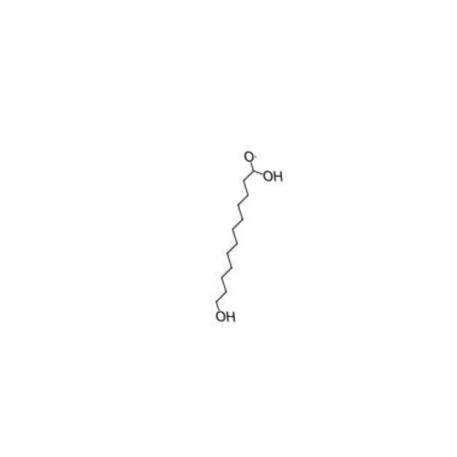 [O]C(O)CCCCCCCCCCCO